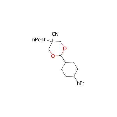 CCCCCC1(C#N)COC(C2CCC(CCC)CC2)OC1